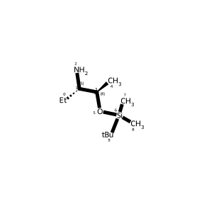 CC[C@H](N)[C@@H](C)O[Si](C)(C)C(C)(C)C